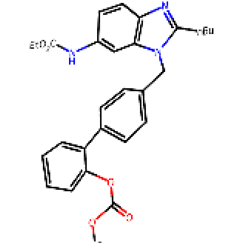 CCCCc1nc2ccc(NC(=O)OCC)cc2n1Cc1ccc(-c2ccccc2OC(=O)OC(C)(C)C)cc1